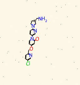 NC[C@@H]1CCN(c2ccc(-n3ccc(OCc4ccc(Cl)cn4)cc3=O)cn2)C1